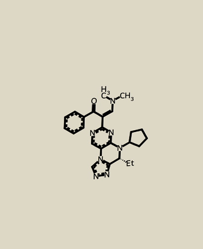 CC[C@@H]1c2nncn2-c2cnc(C(=CN(C)C)C(=O)c3ccccc3)nc2N1C1CCCC1